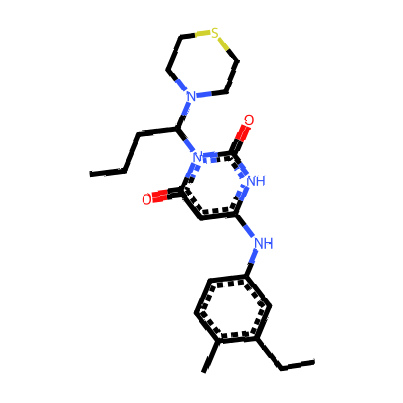 CCCC(N1CCSCC1)n1c(=O)cc(Nc2ccc(C)c(CC)c2)[nH]c1=O